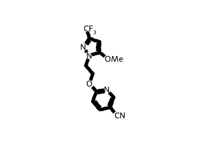 COc1cc(C(F)(F)F)nn1CCOc1ccc(C#N)cn1